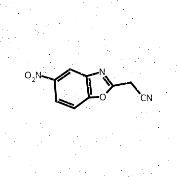 N#CCc1nc2cc([N+](=O)[O-])ccc2o1